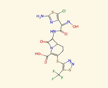 Nc1nc(/C(=N/O)C(=O)NC2C(=O)N3C(C(=O)O)=C(Sc4nnsc4C(F)(F)F)CCC23)c(Cl)s1